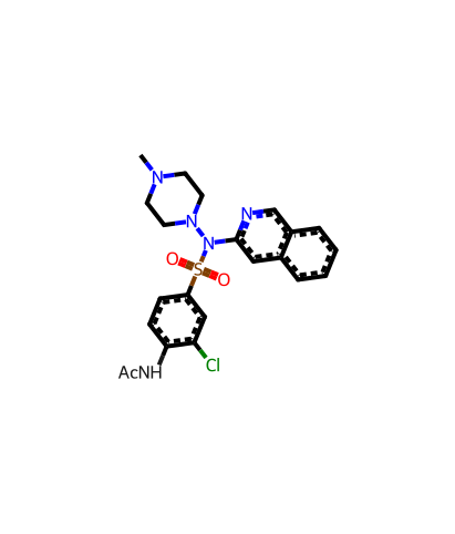 CC(=O)Nc1ccc(S(=O)(=O)N(c2cc3ccccc3cn2)N2CCN(C)CC2)cc1Cl